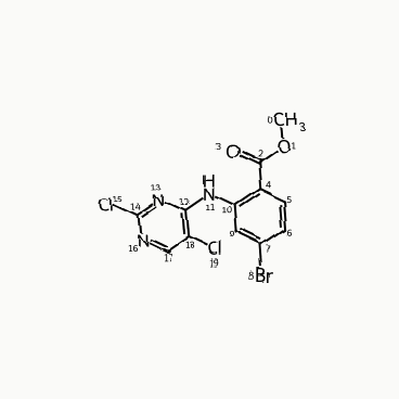 COC(=O)c1ccc(Br)cc1Nc1nc(Cl)ncc1Cl